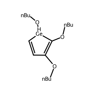 CCCCOC1=[C](OCCCC)[GeH]([O]CCCC)[CH]=C1